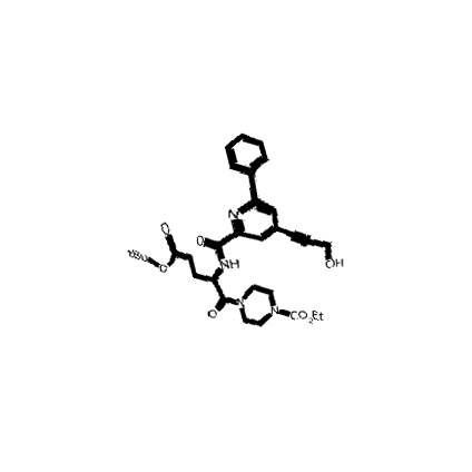 CCOC(=O)N1CCN(C(=O)C(CCC(=O)OC(C)(C)C)NC(=O)c2cc(C#CCO)cc(-c3ccccc3)n2)CC1